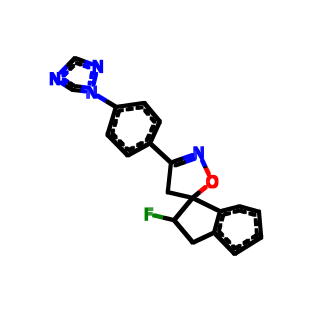 FC1Cc2ccccc2C12CC(c1ccc(-n3cncn3)cc1)=NO2